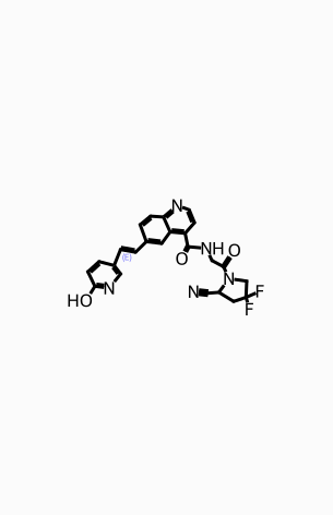 N#CC1CC(F)(F)CN1C(=O)CNC(=O)c1ccnc2ccc(/C=C/c3ccc(O)nc3)cc12